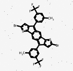 Cc1cc(C2=c3cc4c(cc3-c3sc(Br)cc32)=C(c2cc(C)cc(C(F)(F)F)c2)c2cc(Br)sc2-4)cc(C(F)(F)F)c1